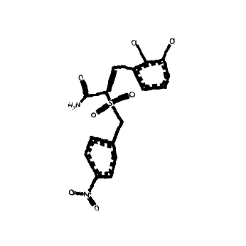 NC(=O)/C(=C/c1cccc(Cl)c1Cl)S(=O)(=O)Cc1ccc([N+](=O)[O-])cc1